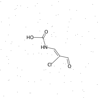 O=CC(Cl)=CNC(=O)O